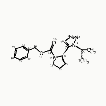 CC(C)n1nnnc1[C@H]1CCCN1C(=O)OCc1ccccc1